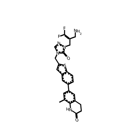 Cc1cc(-c2ccc3sc(Cn4cnn(CC(CN)=C(F)F)c4=O)cc3c2)cc2c1NC(=O)CC2